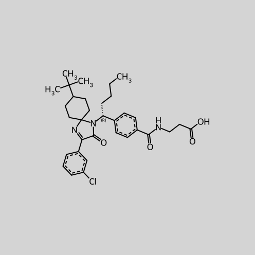 CCCC[C@H](c1ccc(C(=O)NCCC(=O)O)cc1)N1C(=O)C(c2cccc(Cl)c2)=NC12CCC(C(C)(C)C)CC2